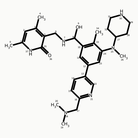 Cc1cc(C)c(CNC(O)c2cc(-c3ccc(CN(C)C)nc3)cc(N(C)C3CCNCC3)c2C)c(=O)[nH]1